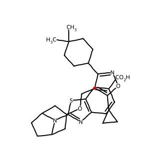 CC1(C)CCC(c2noc(C3CC3)c2COC2CC3CCC(C2)N3c2nc3ccc(C(=O)O)cc3s2)CC1